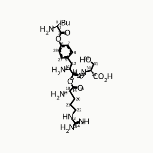 CC[C@H](C)[C@H](N)C(=O)Oc1ccc(C[C@H](N)C(=O)OC(=O)[C@@H](N)CCCNC(=N)N)cc1.N[C@@H](CO)C(=O)O